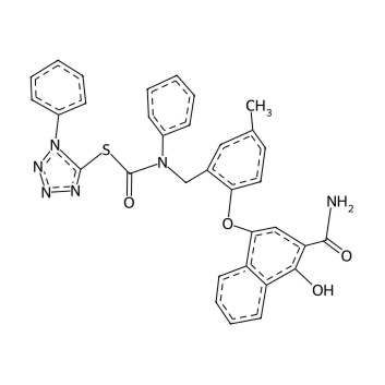 Cc1ccc(Oc2cc(C(N)=O)c(O)c3ccccc23)c(CN(C(=O)Sc2nnnn2-c2ccccc2)c2ccccc2)c1